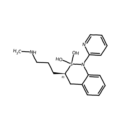 CNCCC[C@@H]1Cc2ccccc2N(c2ccccn2)S1(O)O